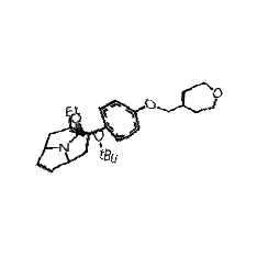 CCC1=C(c2ccc(OCC3CCOCC3)cc2)CC2CCC(C1)N2C(=O)OC(C)(C)C